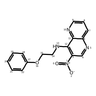 O=[N+]([O-])c1cnc2cccnc2c1NCCOc1ccccc1